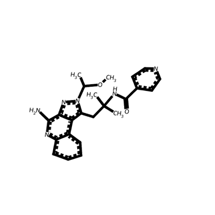 COC(C)n1nc2c(N)nc3ccccc3c2c1CC(C)(C)NC(=O)c1ccncc1